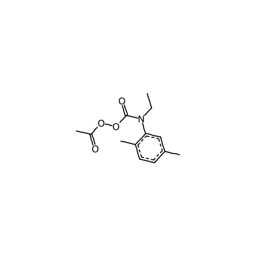 CCN(C(=O)OOC(C)=O)c1cc(C)ccc1C